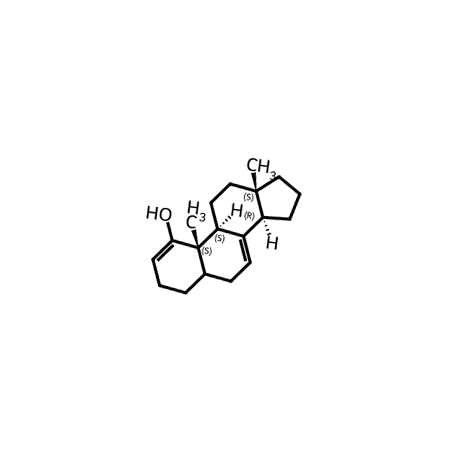 C[C@@]12CCC[C@H]1C1=CCC3CCC=C(O)[C@]3(C)[C@H]1CC2